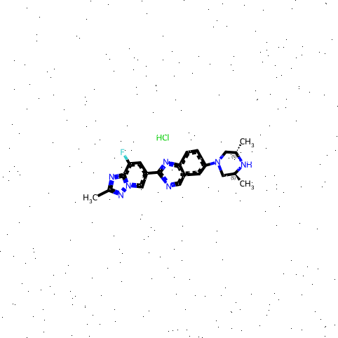 Cc1nc2c(F)cc(-c3ncc4cc(N5C[C@H](C)N[C@@H](C)C5)ccc4n3)cn2n1.Cl